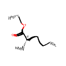 CCCCCOC(=O)[C@H](CCSC)NC